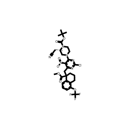 COC(=O)C1(Cc2nc(Cl)nc(N3CCN(C(=O)OC(C)(C)C)[C@@H](CC#N)C3)c2[N+](=O)[O-])CCCc2c(OC(F)(F)F)cccc21